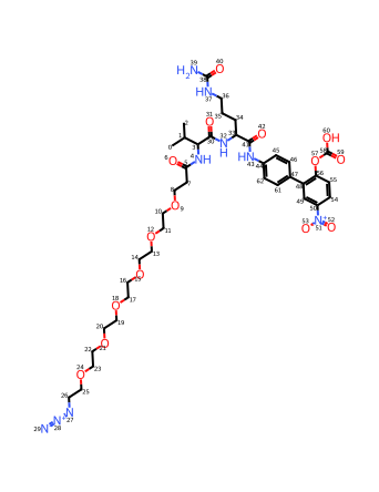 CC(C)C(NC(=O)CCOCCOCCOCCOCCOCCOCCN=[N+]=[N-])C(=O)NC(CCCNC(N)=O)C(=O)Nc1ccc(-c2cc([N+](=O)[O-])ccc2OC(=O)O)cc1